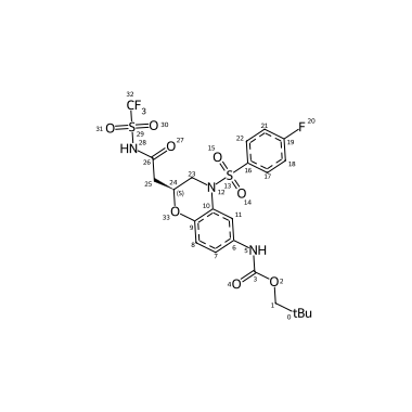 CC(C)(C)COC(=O)Nc1ccc2c(c1)N(S(=O)(=O)c1ccc(F)cc1)C[C@H](CC(=O)NS(=O)(=O)C(F)(F)F)O2